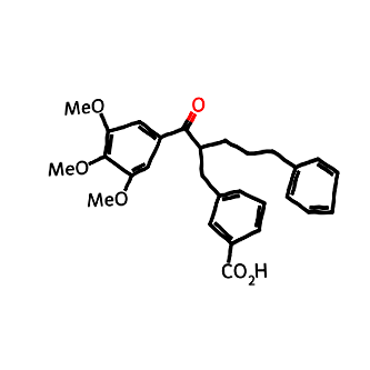 COc1cc(C(=O)C(CCCc2ccccc2)Cc2cccc(C(=O)O)c2)cc(OC)c1OC